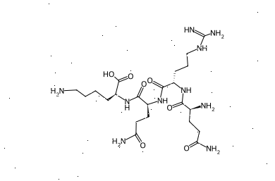 N=C(N)NCCC[C@H](NC(=O)[C@@H](N)CCC(N)=O)C(=O)N[C@@H](CCC(N)=O)C(=O)N[C@@H](CCCCN)C(=O)O